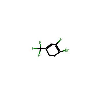 FC1=C(Br)[CH]CC(C(F)(F)F)=C1